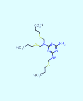 Nc1nc(NCSCCC(=O)O)nc(N(CSCCC(=O)O)CSCCC(=O)O)n1